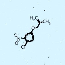 C=C(C)COc1ccc(Cl)c([N+](=O)[O-])c1